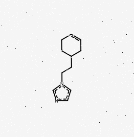 C1=CCC(CCn2ccnc2)CC1